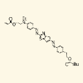 C=CC(=O)OCCN(CC)c1ccc(/N=N/c2nc3c(s2)C=C(/N=N/c2ccc(CCOC(=O)C(C)CC)cc2)C3)c(C)c1